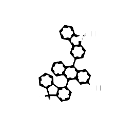 Cc1ccc2c(-c3ccc4c(c3)c3ccccc3n4C)c3ccccc3c(-c3cccc4c3-c3ccccc3C4(C)C)c2c1